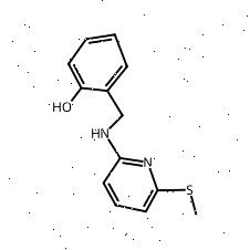 CSc1cccc(NCc2ccccc2O)n1